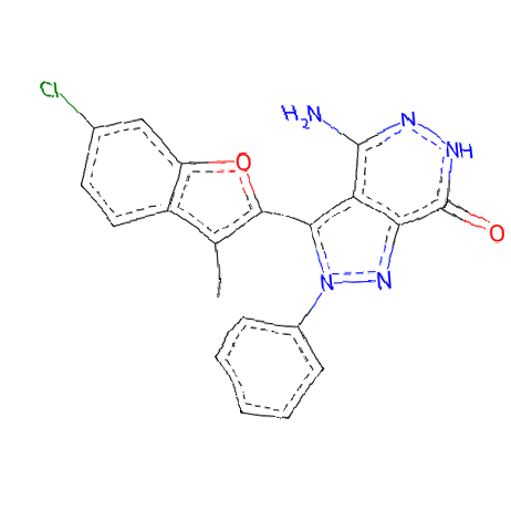 Cc1c(-c2c3c(N)n[nH]c(=O)c3nn2-c2ccccc2)oc2cc(Cl)ccc12